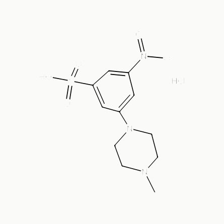 CN1CCN(c2cc([N+](=O)[O-])cc(S(=O)(=O)O)c2)CC1.Cl